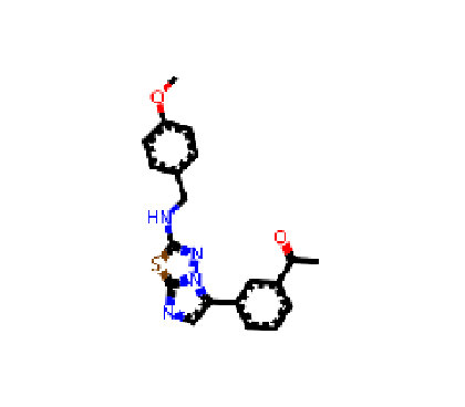 COc1ccc(CNc2nn3c(-c4cccc(C(C)=O)c4)cnc3s2)cc1